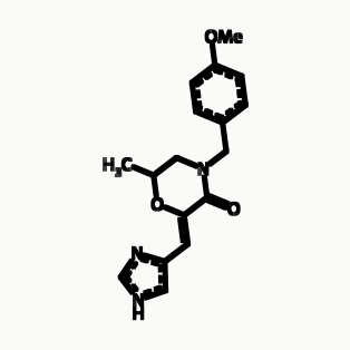 COc1ccc(CN2CC(C)OC(=Cc3c[nH]cn3)C2=O)cc1